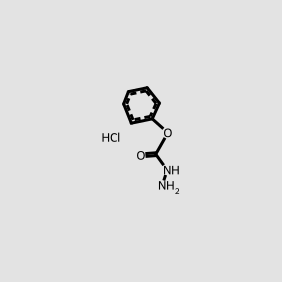 Cl.NNC(=O)Oc1ccccc1